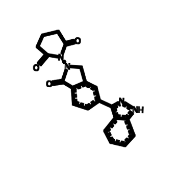 O=C1c2ccc(-c3n[nH]c4ccccc34)cc2CN1N1C(=O)CCCC1=O